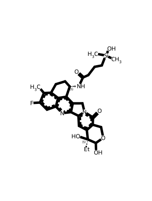 CC[C@]1(O)c2cc3n(c(=O)c2COC1O)Cc1c-3nc2cc(F)c(C)c3c2c1[C@@H](NC(=O)CCC[Si](C)(C)O)CC3